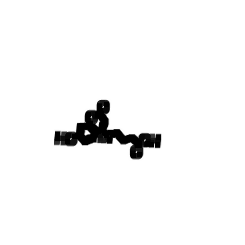 O=C(O)CCCNc1cc(=O)oc2cc(O)ccc12